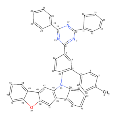 Cc1ccc(-c2cc(-c3nc(-c4ccccc4)nc(-c4ccccc4)n3)ccc2-n2c3ccccc3c3cc4oc5ccccc5c4cc32)cc1